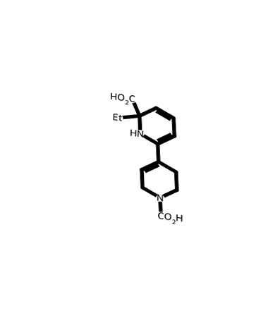 CCC1(C(=O)O)C=CC=C(C2=CCN(C(=O)O)CC2)N1